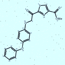 COC(=O)c1csc(C(=O)COc2ccc(Oc3ccccc3)cc2)n1